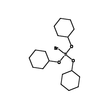 [Br][Ti]([O]C1CCCCC1)([O]C1CCCCC1)[O]C1CCCCC1